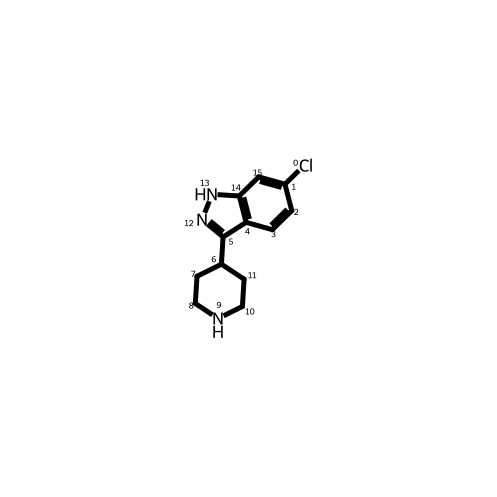 Clc1ccc2c(C3CCNCC3)n[nH]c2c1